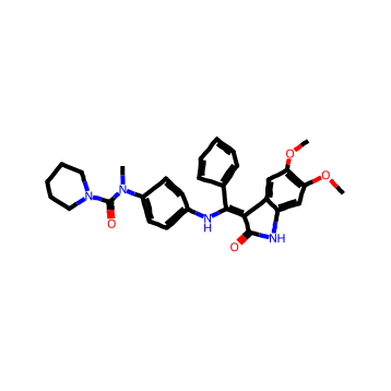 COc1cc2c(cc1OC)/C(=C(/Nc1ccc(N(C)C(=O)N3CCCCC3)cc1)c1ccccc1)C(=O)N2